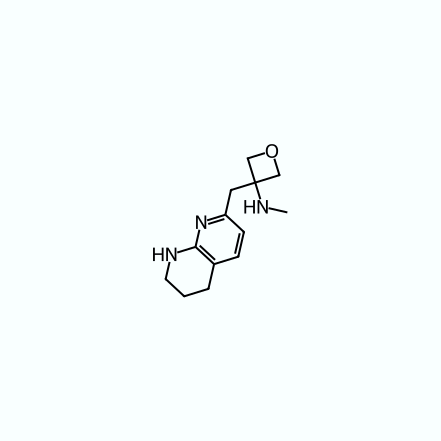 CNC1(Cc2ccc3c(n2)NCCC3)COC1